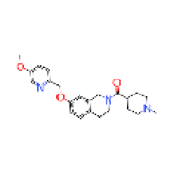 COc1ccc(COc2ccc3c(c2)CN(C(=O)C2CCN(C)CC2)CC3)nc1